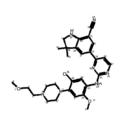 COCCN1CCN(c2cc(OC)c(Nc3nccc(-c4cc(C#N)c5c(c4)C(C)(C)CN5)n3)cc2Cl)CC1